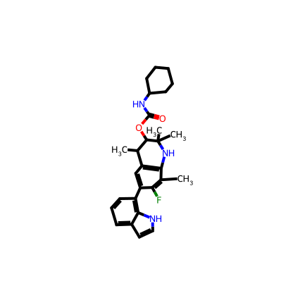 Cc1c(F)c(-c2cccc3cc[nH]c23)cc2c1NC(C)(C)C(OC(=O)NC1CCCCC1)C2C